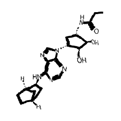 CCC(=O)N[C@H]1C[C@@H](n2cnc3c(N[C@H]4C[C@@H]5CC[C@@H]4C5)ncnc32)[C@H](O)[C@@H]1O